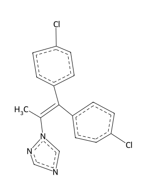 CC(=C(c1ccc(Cl)cc1)c1ccc(Cl)cc1)n1cncn1